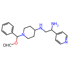 NC(CNC1CCN(C(OC=O)c2ccccc2)CC1)c1ccncc1